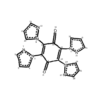 O=C1C(n2cccn2)=C(n2cccn2)C(=O)C(n2cccn2)=C1n1cccn1